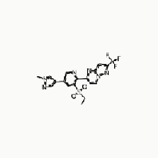 CCS(=O)(=O)c1cc(-c2cnn(C)c2)cnc1-c1ccn2nc(C(F)(F)F)cc2n1